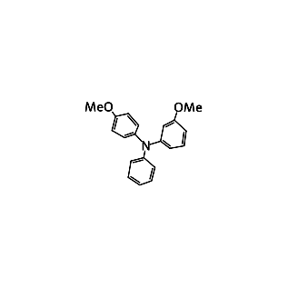 COc1ccc(N(c2ccccc2)c2cccc(OC)c2)cc1